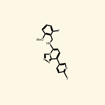 COc1cccc(F)c1CNc1ccc(-c2ccc(F)nc2)c2nncn12